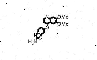 COc1cc2nccc(Oc3ccc4nc(N)sc4c3)c2cc1OC